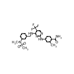 Cc1cc(Nc2ncc(C(F)(F)F)c(NCc3cccc(N(C)S(C)(=O)=O)c3)n2)ccc1C(N)=O